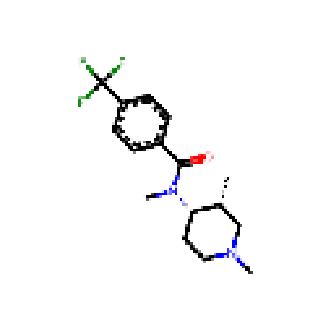 C[C@@H]1CN(C)CC[C@@H]1N(C)C(=O)c1ccc(C(F)(F)F)cc1